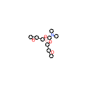 c1ccc(N(c2ccccc2)c2cc3c4c(c2)Oc2cc(-c5ccc6c(c5)oc5ccccc56)ccc2B4c2ccc(-c4ccc5c(c4)oc4ccccc45)cc2O3)cc1